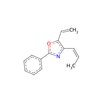 C=Cc1oc(-c2ccccc2)nc1/C=C\C